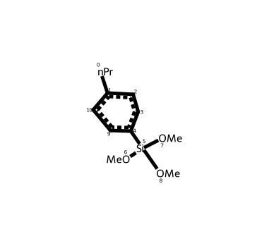 CCCc1ccc([Si](OC)(OC)OC)cc1